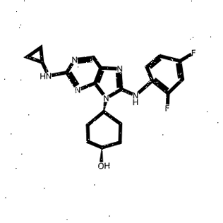 O[C@H]1CC[C@@H](n2c(Nc3ccc(F)cc3F)nc3cnc(NC4CC4)nc32)CC1